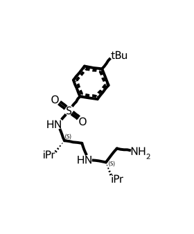 CC(C)[C@@H](CN)NC[C@@H](NS(=O)(=O)c1ccc(C(C)(C)C)cc1)C(C)C